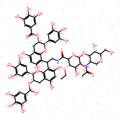 CCO[C@@H]1C(C(=O)NCC(c2c(O)cc(O)c3c2O[C@H](c2cc(O)c(O)c(O)c2)[C@H](OC(=O)c2cc(O)c(O)c(O)c2)C3)c2c(O)cc(O)c3c2O[C@H](c2cc(O)c(O)c(O)c2)[C@H](OC(O)c2cc(O)c(O)c(O)c2)C3)O[C@@H](OC2C(NC(C)=O)COC(CO)[C@H]2O)C(O)C1O